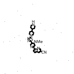 CNc1cc(-c2ccc3cc(C#N)cnn23)ncc1-c1nnc(N2CCC(C3CCNCC3)CC2)s1